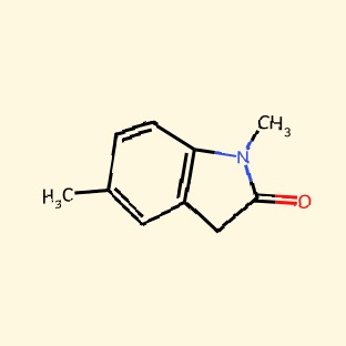 Cc1ccc2c(c1)CC(=O)N2C